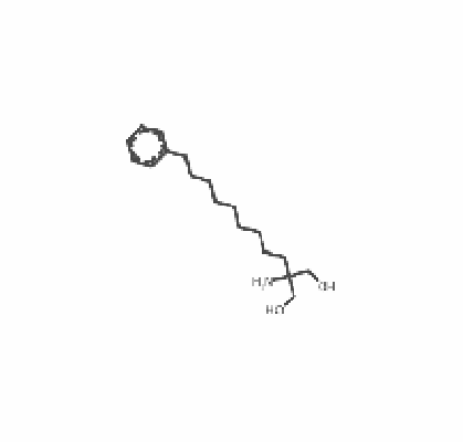 NC(CO)(CO)CCCCCCCCCc1ccccc1